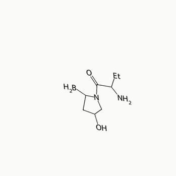 BC1CC(O)CN1C(=O)C(N)CC